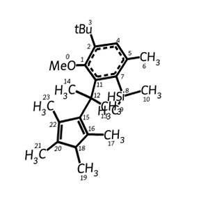 COc1c(C(C)(C)C)cc(C)c([SiH](C)C)c1C(C)(C)C1=C(C)C(C)C(C)=C1C